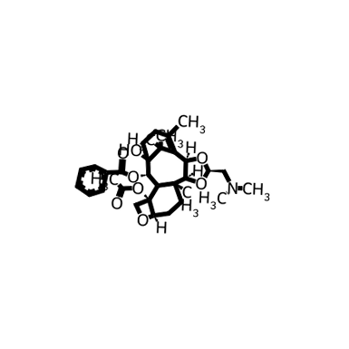 CC(=O)O[C@@]12CO[C@@H]1CC[C@]1(C)C2[C@H](OC(=O)c2ccccc2)[C@]2(O)CCC(C)=C([C@H]3O[C@@H](CN(C)C)O[C@H]31)C2(C)C